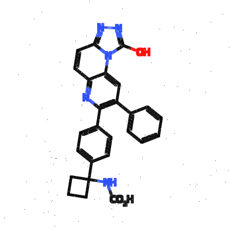 O=C(O)NC1(c2ccc(-c3nc4ccc5nnc(O)n5c4cc3-c3ccccc3)cc2)CCC1